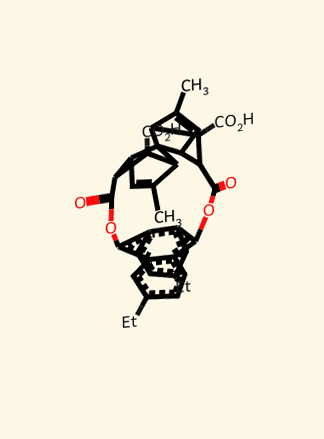 CCc1ccc2c3c4cc(CC)ccc4c(c2c1)OC(=O)C1C(C(=O)O)C2C(C)=CC1C21C2C=C(C)C1C(C(=O)O)C2C(=O)O3